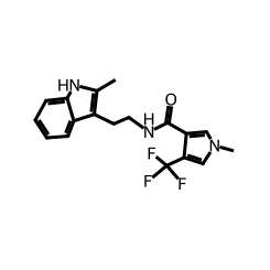 Cc1[nH]c2ccccc2c1CCNC(=O)c1cn(C)cc1C(F)(F)F